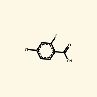 N#CC(=O)c1ccc(Cl)cc1F